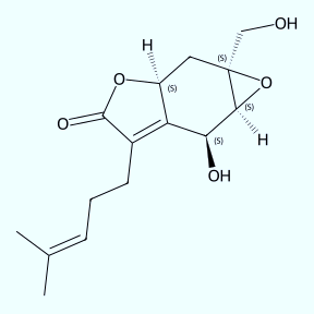 CC(C)=CCCC1=C2[C@H](C[C@@]3(CO)O[C@H]3[C@H]2O)OC1=O